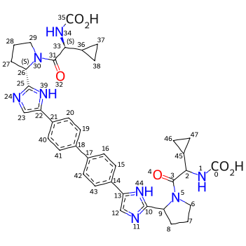 O=C(O)NC(C(=O)N1CCCC1c1ncc(-c2ccc(-c3ccc(-c4cnc([C@@H]5CCCN5C(=O)[C@@H](NC(=O)O)C5CC5)[nH]4)cc3)cc2)[nH]1)C1CC1